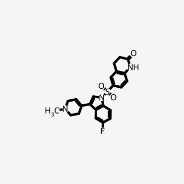 CN1CC=C(c2cn(S(=O)(=O)c3ccc4c(c3)CCC(=O)N4)c3ccc(F)cc23)CC1